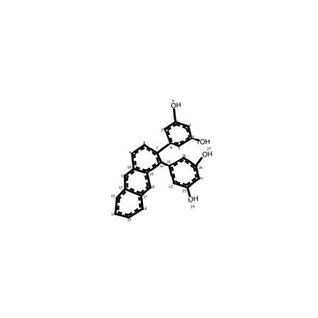 Oc1cc(O)cc(-c2ccc3cc4ccccc4cc3c2-c2cc(O)cc(O)c2)c1